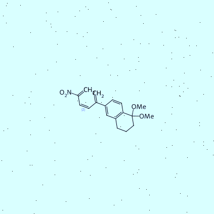 C=C(/C=C\C(=C)[N+](=O)[O-])c1ccc2c(c1)CCCC2(OC)OC